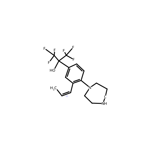 C/C=C\c1cc(C(O)(C(F)(F)F)C(F)(F)F)ccc1N1CCCNCC1